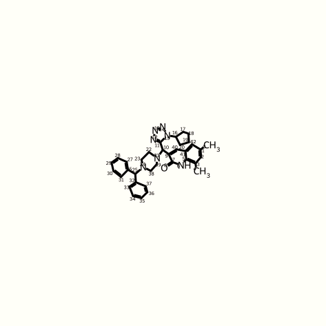 Cc1cc(C)c2[nH]c(=O)c(C(c3nnnn3C3CCCC3)N3CCN(C(c4ccccc4)c4ccccc4)CC3)cc2c1